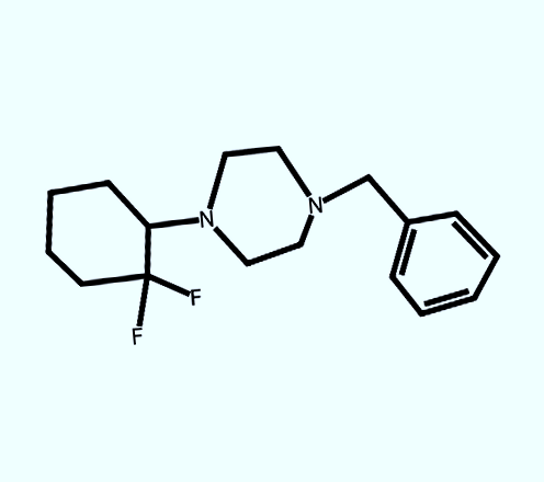 FC1(F)CCCCC1N1CCN(Cc2ccccc2)CC1